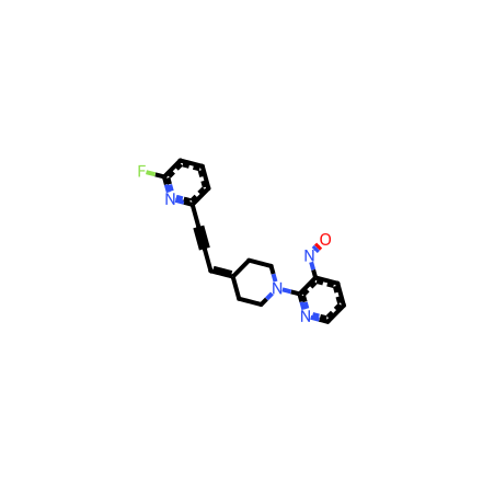 O=Nc1cccnc1N1CCC(=CC#Cc2cccc(F)n2)CC1